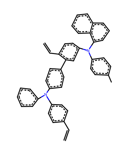 C=Cc1ccc(N(c2ccccc2)c2ccc(-c3cc(N(c4ccc(C)cc4)c4cccc5ccccc45)ccc3C=C)cc2)cc1